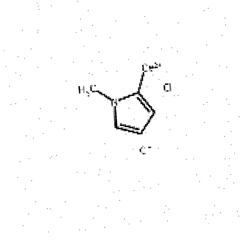 Cn1ccc[c]1[Ce+2].[Cl-].[Cl-]